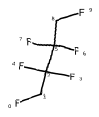 F[CH]C(F)(F)C(F)(F)CF